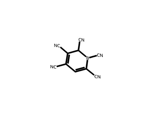 N#CB1C(C#N)=CC(C#N)=C(C#N)C1C#N